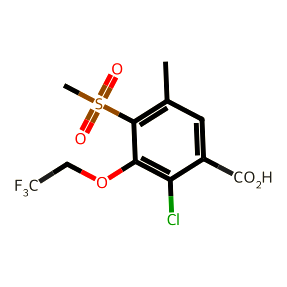 Cc1cc(C(=O)O)c(Cl)c(OCC(F)(F)F)c1S(C)(=O)=O